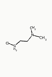 CN(C)CC[SiH2]Cl